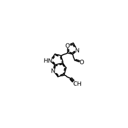 C#Cc1cnc2[nH]cc(-c3ocnc3C=O)c2c1